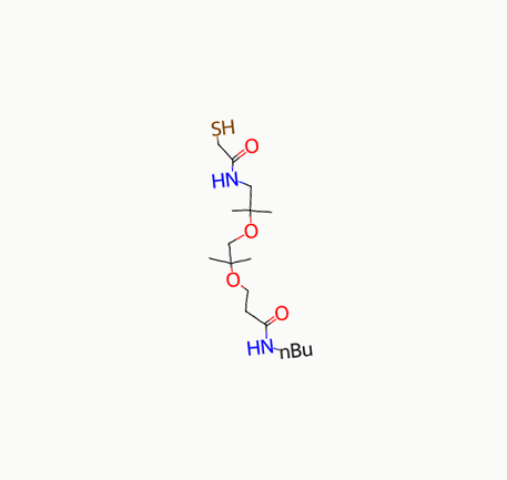 CCCCNC(=O)CCOC(C)(C)COC(C)(C)CNC(=O)CS